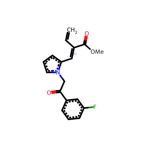 C=C/C(=C\c1cccn1CC(=O)c1cccc(F)c1)C(=O)OC